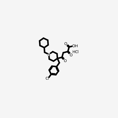 Cl.O=C(O)C(=O)CC(=O)C1(Cc2ccc(Cl)cc2)CCN(CC2CCCCC2)CC1